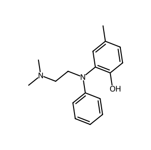 Cc1ccc(O)c(N(CCN(C)C)c2ccccc2)c1